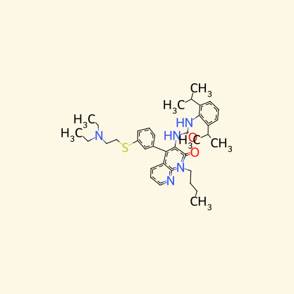 CCCCn1c(=O)c(NC(=O)Nc2c(C(C)C)cccc2C(C)C)c(-c2cccc(SCCN(CC)CC)c2)c2cccnc21